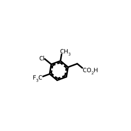 Cc1c(CC(=O)O)ccc(C(F)(F)F)c1Cl